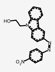 O=[N+]([O-])c1ccc(/N=N\c2ccc3c(c2)c2ccccc2n3CCO)cc1